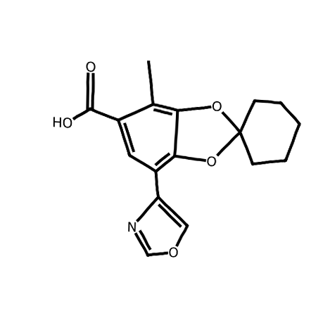 Cc1c(C(=O)O)cc(-c2cocn2)c2c1OC1(CCCCC1)O2